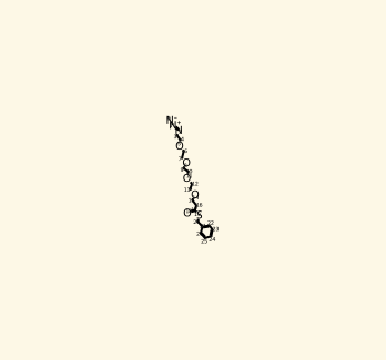 [N-]=[N+]=NCCOCCOCCOCCOCCC(=O)SCc1ccccc1